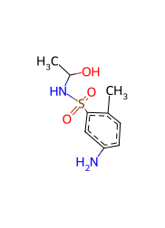 Cc1ccc(N)cc1S(=O)(=O)NC(C)O